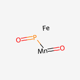 O=[P][Mn]=[O].[Fe]